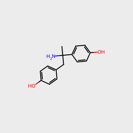 CC(N)(Cc1ccc(O)cc1)c1ccc(O)cc1